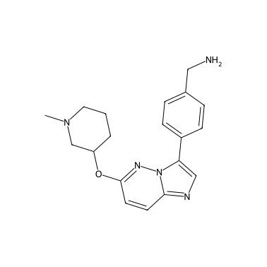 CN1CCCC(Oc2ccc3ncc(-c4ccc(CN)cc4)n3n2)C1